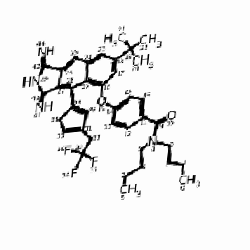 CCCCN(CCCC)C(=O)c1ccc(Oc2cc(C(C)(C)C)cc3cc4c(c(C5=CC(CC(F)(F)F)=CC5)c23)C(=N)NC4=N)cc1